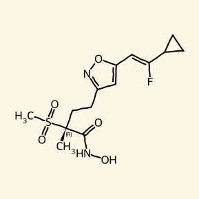 C[C@@](CCc1cc(C=C(F)C2CC2)on1)(C(=O)NO)S(C)(=O)=O